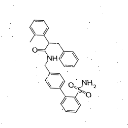 Cc1ccccc1C(Cc1ccccc1)C(=O)NCc1ccc(-c2ccccc2S(N)(=O)=O)cc1